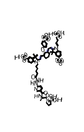 C[C@@H](NC(=O)c1ccc(NNC(=O)CCCCC[N+]2=C(/C=C/C3=C(Oc4ccc(S(=O)(=O)O)cc4)C(=C/C=C4/N(CCCCS(=O)(=O)O)c5ccc(S(=O)(=O)[O-])cc5C4(C)C)/CCC3)C(C)(C)c3cc(S(=O)(=O)O)ccc32)nc1)C(=O)N1CCC[C@H]1B(O)O